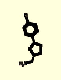 NC[C@H]1CC[C@H](c2ccc(Cl)cc2)O1